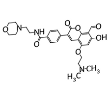 CN(C)CCOc1cc(O)c(C=O)c2oc(=O)c(-c3ccc(C(=O)NCCN4CCOCC4)cc3)cc12